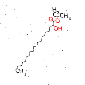 CCCCCCCCCCCCCCCCCCC(O)C(=O)OC(C)C